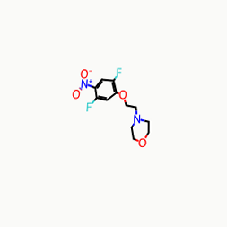 O=[N+]([O-])c1cc(F)c(OCCN2CCOCC2)cc1F